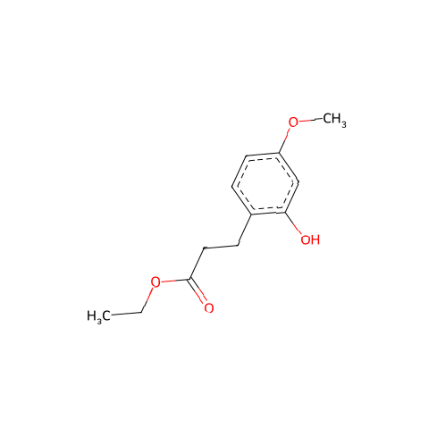 CCOC(=O)CCc1ccc(OC)cc1O